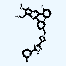 COc1nn2cc(-c3c(F)cccc3F)c(-c3ccc(CN4CC(c5n[nH]c(-c6cccc(C)n6)n5)C4)cc3)nc2c1CO